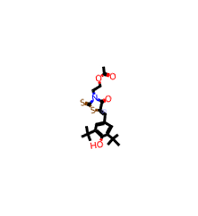 CC(=O)OCCN1C(=O)/C(=C/c2cc(C(C)(C)C)c(O)c(C(C)(C)C)c2)SC1=S